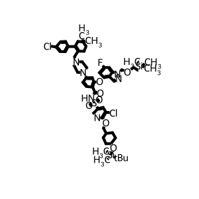 CC1(C)CCC(CN2CCN(c3ccc(C(=O)NS(=O)(=O)c4cnc(OCC5CCC(O[Si](C)(C)C(C)(C)C)CC5)c(Cl)c4)c(Oc4cc(F)cc5c4cnn5COCC[Si](C)(C)C)c3)CC2)=C(c2ccc(Cl)cc2)C1